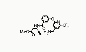 C#C[C@@H](CC(=O)OC)NC(=O)c1cccc(Oc2cc(CN)cc(C(F)(F)F)n2)c1